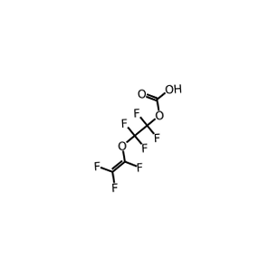 O=C(O)OC(F)(F)C(F)(F)OC(F)=C(F)F